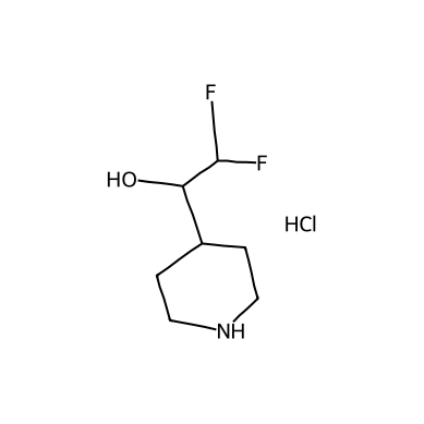 Cl.OC(C(F)F)C1CCNCC1